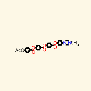 CC(=O)Oc1ccc(C(=O)Oc2ccc(C(=O)Oc3ccc(C(=O)Oc4ccc(N5CCN(C)CC5)cc4)cc3)cc2)cc1